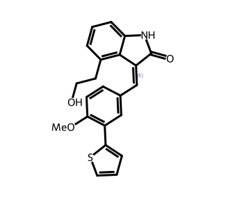 COc1ccc(/C=C2/C(=O)Nc3cccc(CCO)c32)cc1-c1cccs1